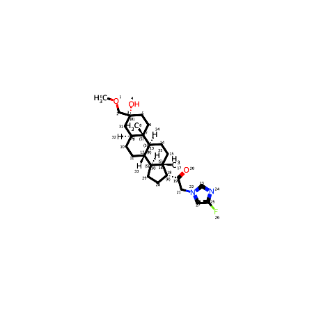 COC[C@@]1(O)CC[C@@]2(C)[C@@H](CC[C@@H]3[C@@H]2CC[C@]2(C)[C@H](C(=O)Cn4cnc(F)c4)CC[C@@H]32)C1